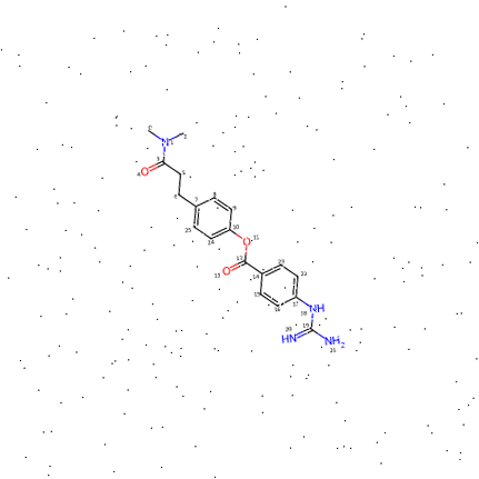 CN(C)C(=O)CCc1ccc(OC(=O)c2ccc(NC(=N)N)cc2)cc1